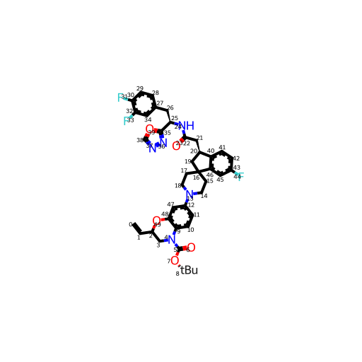 C=CC1CN(C(=O)OC(C)(C)C)c2ccc(N3CCC4(CC3)C[C@@H](CC(=O)N[C@H](Cc3ccc(F)c(F)c3)c3nnco3)c3ccc(F)cc34)cc2O1